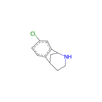 Clc1ccc2c(c1)C1CC2CCN1